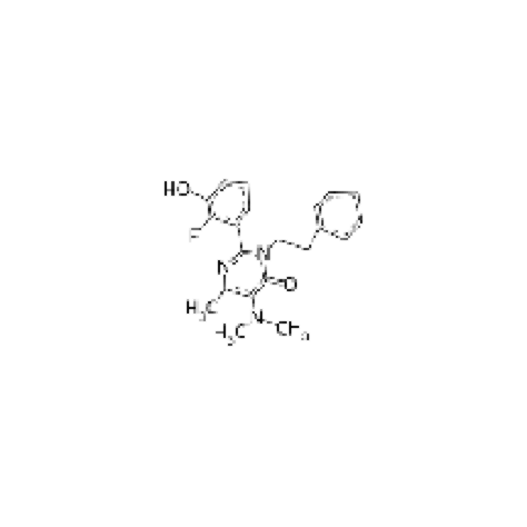 Cc1nc(-c2cccc(O)c2F)n(CCc2ccccc2)c(=O)c1N(C)C